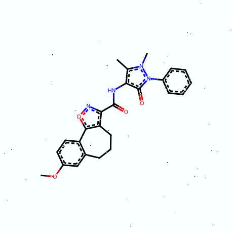 COc1ccc2c(c1)CCCc1c(C(=O)Nc3c(C)n(C)n(-c4ccccc4)c3=O)noc1-2